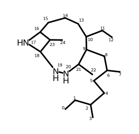 CCC(C)CCC(C)CC1C(CC)CCCC2NC(NNC1C)C2C